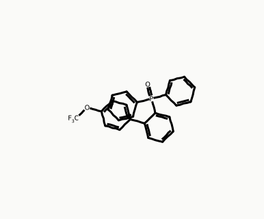 O=P(c1ccccc1)(c1ccccc1)c1ccccc1-c1ccc(OC(F)(F)F)cc1